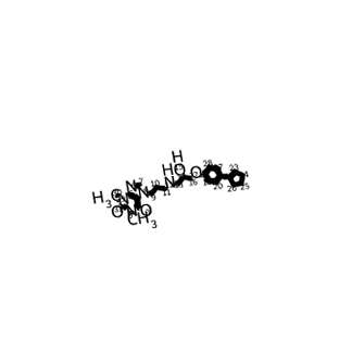 Cn1c(=O)c2c(ncn2CCCNCC(O)COc2ccc(C3=CCCC3)cc2)n(C)c1=O